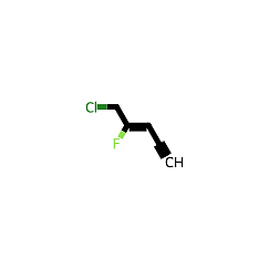 C#CC=C(F)CCl